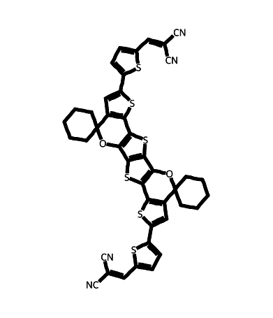 N#CC(C#N)=Cc1ccc(-c2cc3c(s2)-c2sc4c5c(sc4c2OC32CCCCC2)-c2sc(-c3ccc(C=C(C#N)C#N)s3)cc2C2(CCCCC2)O5)s1